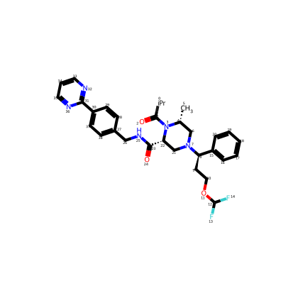 CC(C)C(=O)N1[C@H](C)CN([C@H](CCOC(F)F)c2ccccc2)C[C@@H]1C(=O)NCc1ccc(-c2ncccn2)cc1